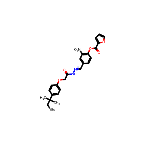 CC(C)(C)CC(C)(C)c1ccc(OCC(=O)N/N=C/c2ccc(OC(=O)c3ccco3)c([N+](=O)[O-])c2)cc1